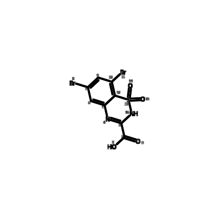 O=C(O)C1=Nc2cc(Br)cc(Br)c2S(=O)(=O)N1